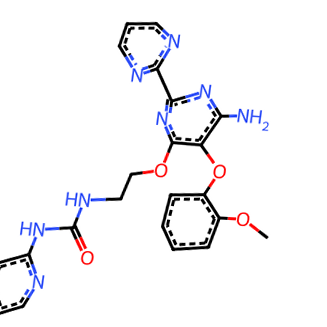 COc1ccccc1Oc1c(N)nc(-c2ncccn2)nc1OCCNC(=O)Nc1ccccn1